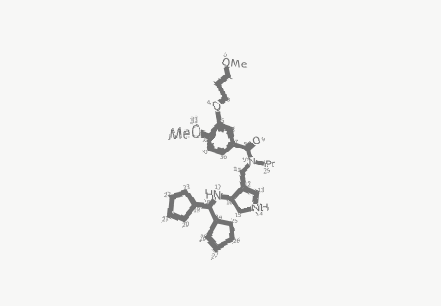 COCCCOc1cc(C(=O)N(CC2CNCC2NC(C2CCCC2)C2CCCC2)C(C)C)ccc1OC